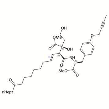 CC#CCOc1ccc(C[C@H](NC(=O)[C@@H](/C=C/CCCCCCC(=O)CCCCCCC)[C@@](O)(CCO)C(=O)OC)C(=O)OC)cc1